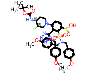 COc1ccc(CN(Cc2ccc(OC)cc2)S(=O)(=O)c2c(S(=O)O)ccc(N3CC[C@H](NC(=O)OC(C)(C)C)[C@H](F)C3)c2-c2nnnn2Cc2ccc(OC)cc2)cc1